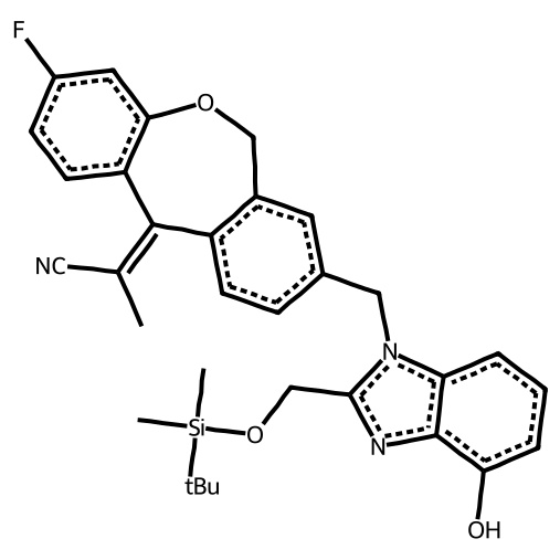 CC(C#N)=C1c2ccc(Cn3c(CO[Si](C)(C)C(C)(C)C)nc4c(O)cccc43)cc2COc2cc(F)ccc21